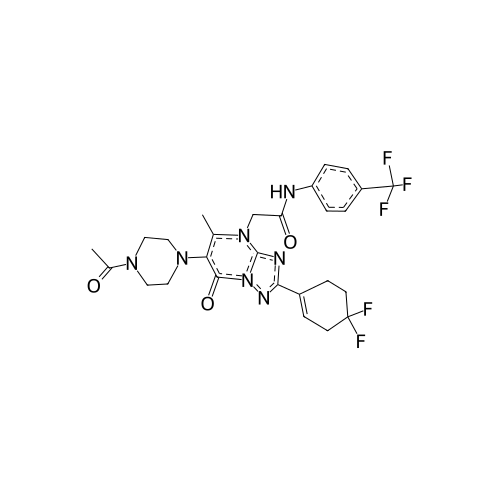 CC(=O)N1CCN(c2c(C)n(CC(=O)Nc3ccc(C(F)(F)F)cc3)c3nc(C4=CCC(F)(F)CC4)nn3c2=O)CC1